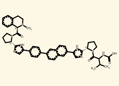 CC(C)C(NC(=O)O)C(=O)N1CCC[C@H]1c1ncc(-c2ccc3cc(-c4ccc(-c5cnc([C@@H]6CCCN6C(=O)[C@H]6c7ccccc7CCN6C)[nH]5)cc4)ccc3c2)[nH]1